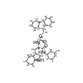 [CH2]c1cccc(NC(=O)[C@@H](Cc2c[nH]c3ccccc23)NC(=O)OCC2c3ccccc3-c3ccccc32)c1